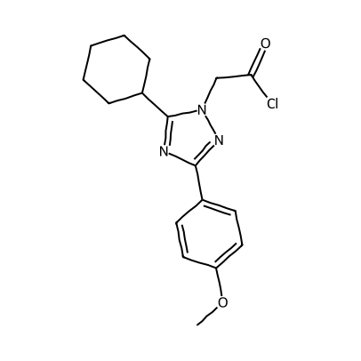 COc1ccc(-c2nc(C3CCCCC3)n(CC(=O)Cl)n2)cc1